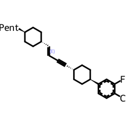 CCCCC[C@H]1CC[C@H](/C=C/C#C[C@H]2CC[C@H](c3ccc(C#N)c(F)c3)CC2)CC1